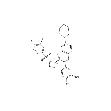 O=C(O)c1ccc(N(Cc2cnc(C3CCCCC3)cn2)C(=O)[C@H]2CCN2S(=O)(=O)c2cnc(F)c(F)c2)cc1O